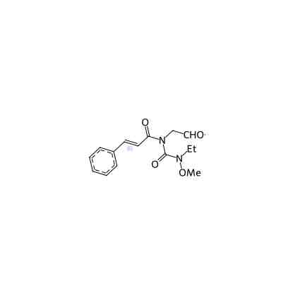 CCN(OC)C(=O)N(C[C]=O)C(=O)/C=C/c1ccccc1